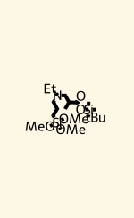 CCN(CCC[Si](OC)(OC)OC)CC(C)C(=O)O[Si](C)(C)C(C)(C)C